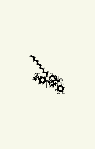 CCCCCCCCCCC[C@H]1C=C[C@H]2C(=O)N(c3ccccc3)C(=O)[C@H]2N1Nc1ccc([N+](=O)[O-])cc1